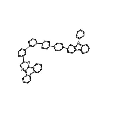 c1ccc(-n2c3ccccc3c3ccc(-c4ccc(-c5ccc(-c6cccc(-c7cccc(-c8cnc9c%10ccccc%10c%10ccccc%10c9n8)c7)c6)cc5)cc4)cc32)cc1